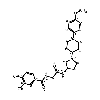 COc1ccc(N2CCC(N3CC[C@@H](NC(=O)CNC(=O)c4ccc(Cl)c(Cl)c4)C3)CC2)cc1